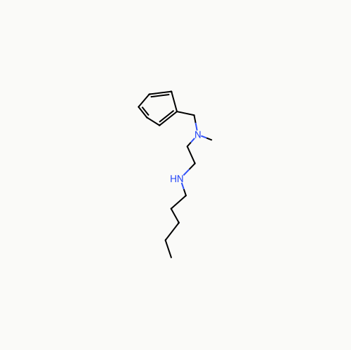 CCCCCNCCN(C)Cc1ccccc1